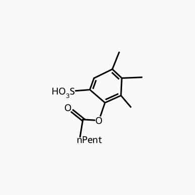 CCCCCC(=O)Oc1c(S(=O)(=O)O)cc(C)c(C)c1C